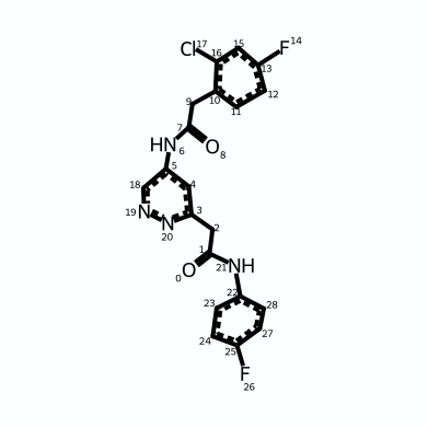 O=C(Cc1cc(NC(=O)Cc2ccc(F)cc2Cl)cnn1)Nc1ccc(F)cc1